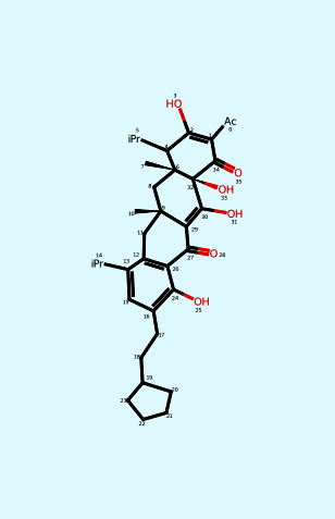 CC(=O)C1=C(O)C(C(C)C)[C@@]2(C)C[C@@]3(C)Cc4c(C(C)C)cc(CCC5CCCC5)c(O)c4C(=O)C3=C(O)[C@@]2(O)C1=O